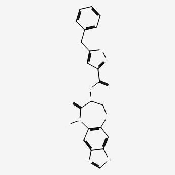 CN1C(=O)[C@@H](NC(=O)c2cc(Cc3ccccc3)on2)CSc2cc3[nH]cnc3cc21